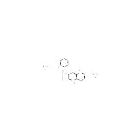 COc1c(F)cccc1Nc1cnc2ccc(OC3CC3)nc2c1